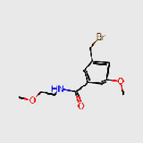 COCCNC(=O)c1cc(CBr)cc(OC)c1